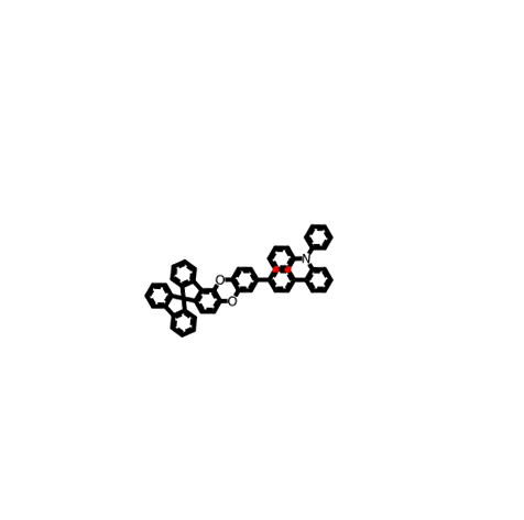 c1ccc(N(c2ccccc2)c2ccccc2-c2ccc(-c3ccc4c(c3)Oc3ccc5c(c3O4)-c3ccccc3C53c4ccccc4-c4ccccc43)cc2)cc1